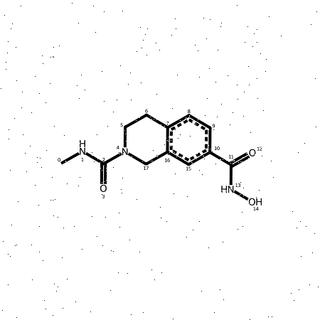 CNC(=O)N1CCc2ccc(C(=O)NO)cc2C1